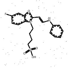 O=S(=O)(O)CCCC[n+]1c(C=CNc2ccccc2)oc2cc(F)ccc21